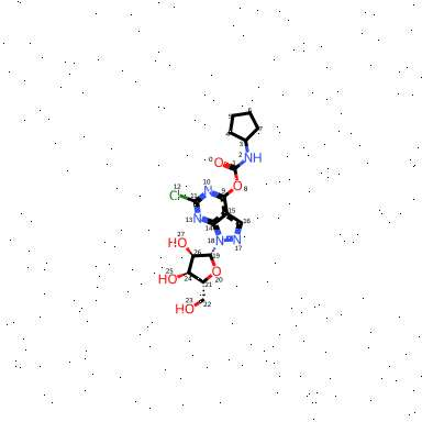 O=C(NC1CCCC1)Oc1nc(Cl)nc2c1cnn2[C@@H]1O[C@H](CO)[C@@H](O)[C@H]1O